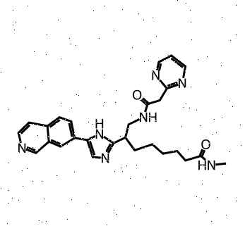 CNC(=O)CCCCCC(CNC(=O)Cc1ncccn1)c1ncc(-c2ccc3ccncc3c2)[nH]1